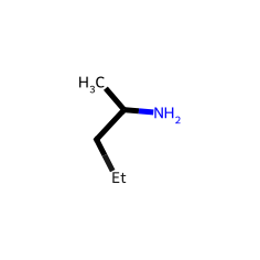 CCC[C](C)N